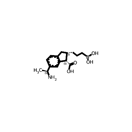 C[C@H](N)c1ccc2c(c1)[C@@H](C(=O)O)[C@@H](CCCB(O)O)C2